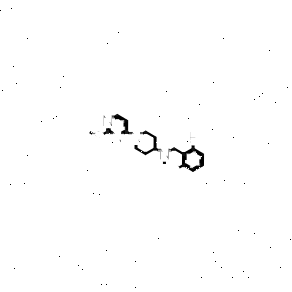 CSc1nccc(N2CCC(N(C)Cc3c(F)cccc3F)CC2)n1